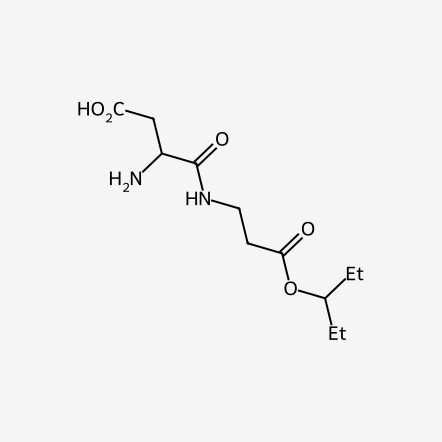 CCC(CC)OC(=O)CCNC(=O)C(N)CC(=O)O